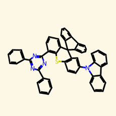 c1ccc(-c2nc(-c3ccccc3)nc(-c3cccc4c3Sc3ccc(-n5c6ccccc6c6ccccc65)cc3C43c4ccccc4-c4ccccc43)n2)cc1